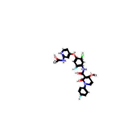 CCOc1ccn(-c2ccc(F)cc2)c(=O)c1C(=O)Nc1cc(Cl)c(Oc2ccnc(NC(=O)CC)c2)cc1F